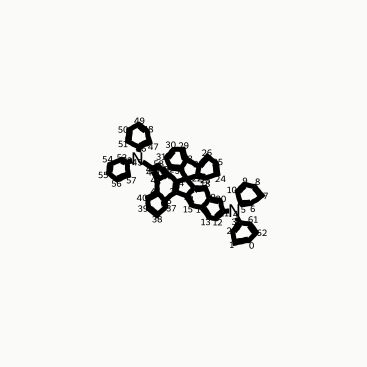 c1ccc(N(c2ccccc2)c2ccc3cc4c(cc3c2)C2(c3ccccc3-c3ccccc32)c2c-4c3ccccc3c3cc(N(c4ccccc4)c4ccccc4)ccc23)cc1